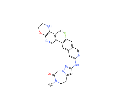 Cc1c(-c2cc3cc(Nc4cc5n(n4)CC(=O)N(C)CC5)ncc3cc2F)cnc2c1NCCO2